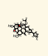 C=C(c1cc(O)c2c3c1C[C@@H]1[C@@H]4C=C[C@H](O)[C@H](O2)[C@]34CCN1C)c1c(C)c(C(=O)OC(C)C)cc2cc(-c3cnn(C)c3)cn12